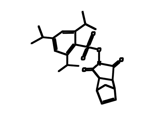 CC(C)c1cc(C(C)C)c(S(=O)(=O)ON2C(=O)C3C4C=CC(C4)C3C2=O)c(C(C)C)c1